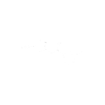 CCOC(=O)c1cc(CN(C)c2cccc(Cl)c2)no1